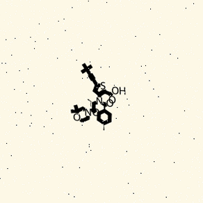 C[C@@H](C(=O)N1CCOC(C)(C)C1)N(c1cc(C#CC(C)(C)C)sc1C(=O)O)C(=O)[C@H]1CC[C@H](C)CC1